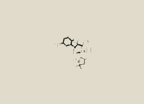 CC1(C)CC[C@@H](c2nc3c(oc4ccc(Br)cc43)c(=O)[nH]2)N1